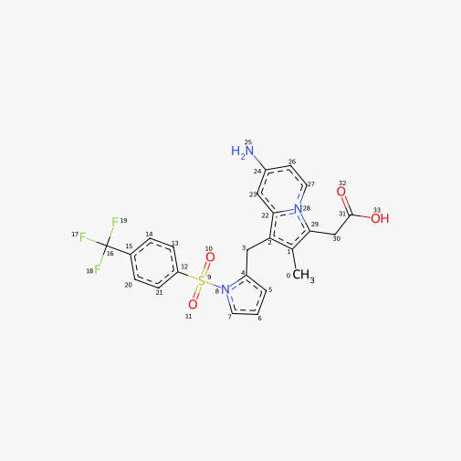 Cc1c(Cc2cccn2S(=O)(=O)c2ccc(C(F)(F)F)cc2)c2cc(N)ccn2c1CC(=O)O